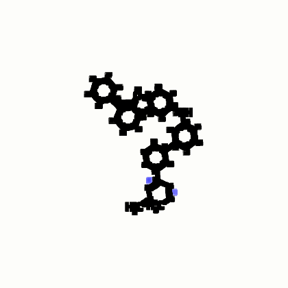 C=C/C=C(\C=C/C)c1cccc(-c2cccc(Nc3ccc4oc5c(-c6ccccc6)cccc5c4c3)c2)c1